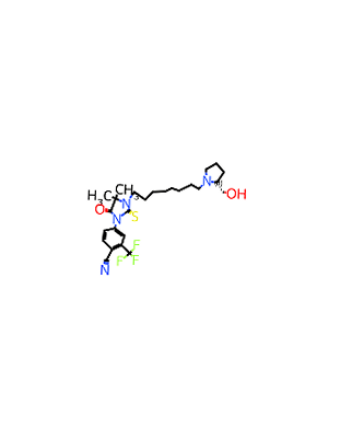 CC1(C)C(=O)N(c2ccc(C#N)c(C(F)(F)F)c2)C(=S)N1CCCCCCCCN1CCC[C@@H]1CO